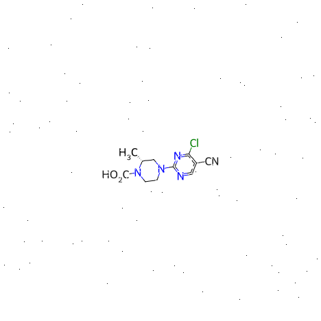 C[C@@H]1CN(c2ncc(C#N)c(Cl)n2)CCN1C(=O)O